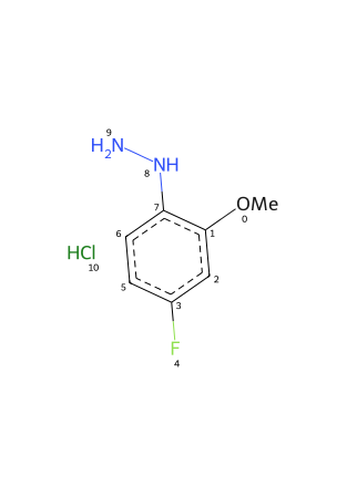 COc1cc(F)ccc1NN.Cl